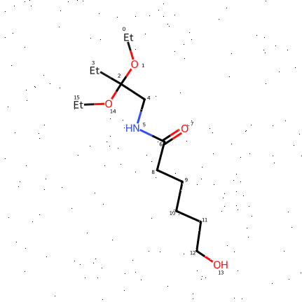 CCOC(CC)(CNC(=O)CCCCCO)OCC